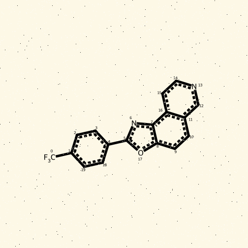 FC(F)(F)c1ccc(-c2nc3c(ccc4cnccc43)o2)cc1